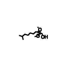 CO[Si](CO)(CCCCCC(C)C)OC